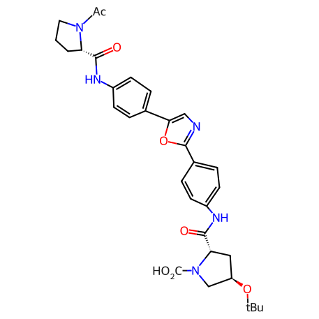 CC(=O)N1CCC[C@H]1C(=O)Nc1ccc(-c2cnc(-c3ccc(NC(=O)[C@@H]4C[C@@H](OC(C)(C)C)CN4C(=O)O)cc3)o2)cc1